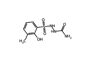 Cc1cccc(S(=O)(=O)NNC(N)=O)c1O